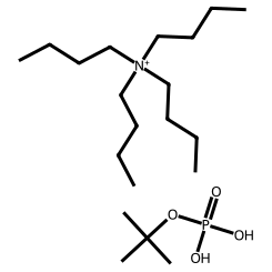 CC(C)(C)OP(=O)(O)O.CCCC[N+](CCCC)(CCCC)CCCC